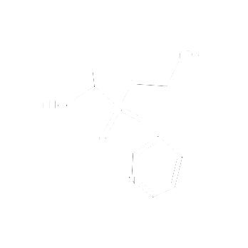 CCCCCCCCCCCOS(=O)(=O)C(F)CCCCCC.c1ccncc1